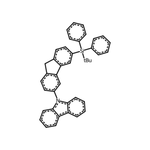 CC(C)(C)[Si](c1ccccc1)(c1ccccc1)c1ccc2c(c1)-c1cc(-n3c4ccccc4c4ccccc43)ccc1C2